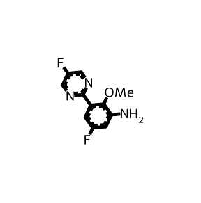 COc1c(N)cc(F)cc1-c1ncc(F)cn1